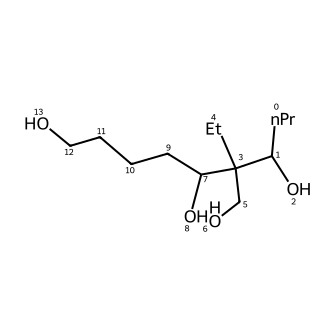 CCCC(O)C(CC)(CO)C(O)CCCCO